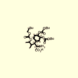 CCC(C)COC(=O)OC(C)C(C)C(c1ccc(OC(=O)OCC(C)C)c(OC(=O)OCC(C)C)c1)[C@H](N)C(=O)O